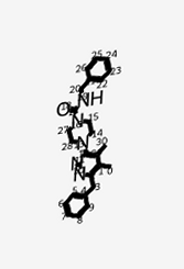 Cc1c(Cc2ccccc2)nnc(N2CCN(C(=O)NCc3ccccc3)CC2)c1C